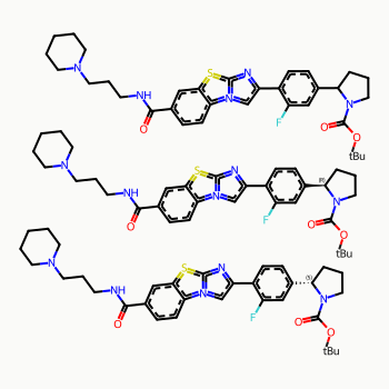 CC(C)(C)OC(=O)N1CCCC1c1ccc(-c2cn3c(n2)sc2cc(C(=O)NCCCN4CCCCC4)ccc23)c(F)c1.CC(C)(C)OC(=O)N1CCC[C@@H]1c1ccc(-c2cn3c(n2)sc2cc(C(=O)NCCCN4CCCCC4)ccc23)c(F)c1.CC(C)(C)OC(=O)N1CCC[C@H]1c1ccc(-c2cn3c(n2)sc2cc(C(=O)NCCCN4CCCCC4)ccc23)c(F)c1